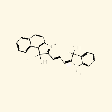 CCCC[N+]1=C(C=C/C=C2/N(C)c3ccccc3C2(C)C)C(C)(C)c2c1ccc1ccccc21